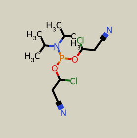 CC(C)N(C(C)C)P(OC(Cl)CC#N)OC(Cl)CC#N